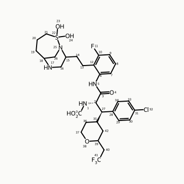 O=C(O)N[C@H](C(=O)Nc1cccc(F)c1CCC1CNC2CCCS(O)(O)N1C2)[C@@H](c1ccc(Cl)cc1)C1CCOC(CC(F)(F)F)C1